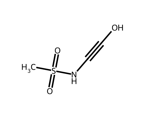 CS(=O)(=O)NC#CO